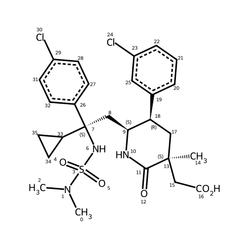 CN(C)S(=O)(=O)N[C@](C[C@@H]1NC(=O)[C@](C)(CC(=O)O)C[C@@H]1c1cccc(Cl)c1)(c1ccc(Cl)cc1)C1CC1